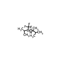 CC(C)[C@@H](C)N[C@@H](C(C)C)C(F)(F)F